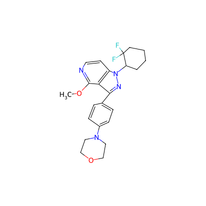 COc1nccc2c1c(-c1ccc(N3CCOCC3)cc1)nn2C1CCCCC1(F)F